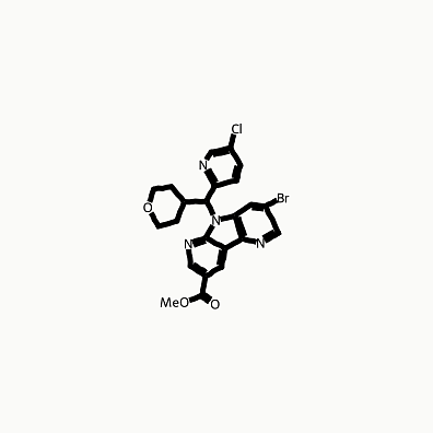 COC(=O)c1cnc2c(c1)c1ncc(Br)cc1n2C(c1ccc(Cl)cn1)C1CCOCC1